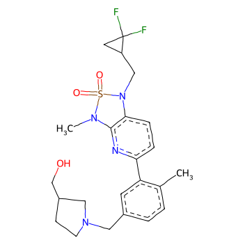 Cc1ccc(CN2CCC(CO)C2)cc1-c1ccc2c(n1)N(C)S(=O)(=O)N2CC1CC1(F)F